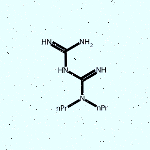 CCCN(CCC)C(=N)NC(=N)N